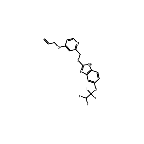 C=CCOc1ccnc(CSc2nc3cc(OC(F)(F)C(F)F)ccc3[nH]2)c1